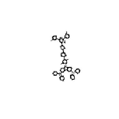 Cc1cccc(-c2cc(-c3ccc(-c4ccc(-c5cc(C)c(-n6c7ccc(N(c8ccccc8)c8ccccc8)cc7c7cc(N(c8ccccc8)c8ccccc8)ccc76)cc5C)cc4)cc3)nc(-c3cccc(C)c3)n2)c1